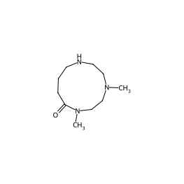 CN1CCNCCCC(=O)N(C)CC1